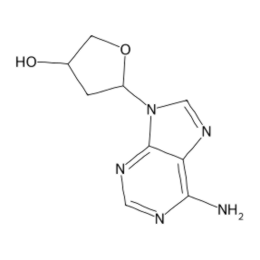 Nc1ncnc2c1ncn2C1CC(O)CO1